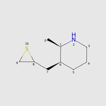 C[C@H]1NCCC[C@H]1CC1CS1